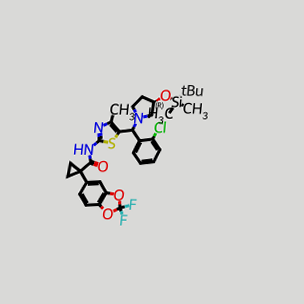 Cc1nc(NC(=O)C2(c3ccc4c(c3)OC(F)(F)O4)CC2)sc1C(c1ccccc1Cl)N1CC[C@@H](O[Si](C)(C)C(C)(C)C)C1